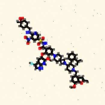 COc1nc2[nH]cc(F)c2cc1Oc1cc(N2CCC3(CC2)CN(C2CCN(Cc4ccc(OC)c5oc(C)cc45)CC2c2ccccc2C(C)C)C3)ccc1C(=O)NS(=O)(=O)c1cnc(NCC2CCC(C)(O)CC2)c([N+](=O)[O-])c1